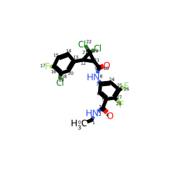 CCNC(=O)c1cc(NC(=O)C2C(c3ccc(F)c(Cl)c3)C2(Cl)Cl)cc(F)c1F